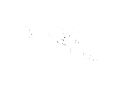 COc1cc(C(C)=O)ccc1OCCCN1CCC(C(OC(=O)C(=O)OC(c2ccc(Cl)cc2)(c2ccc(Cl)cc2)C2CCN(CCCOc3ccc(C(C)=O)cc3OC)CC2)(c2ccc(Cl)cc2)c2ccc(Cl)cc2)CC1